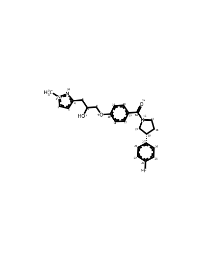 Cn1ccc(CC(O)COc2ccc(C(=O)N3CC[C@H](c4ccc(F)cc4)C3)cc2)n1